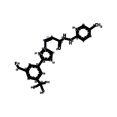 Cc1ccc(NNC(=O)/C=C\n2cnc(-c3cc(CF)cc(C(F)(F)F)c3)n2)nc1